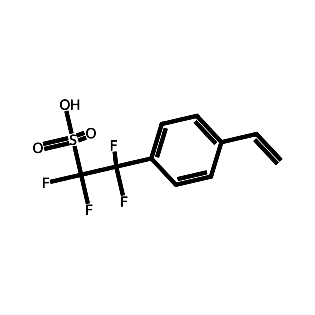 C=Cc1ccc(C(F)(F)C(F)(F)S(=O)(=O)O)cc1